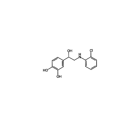 Oc1ccc(C(O)CNc2ccccc2Cl)cc1O